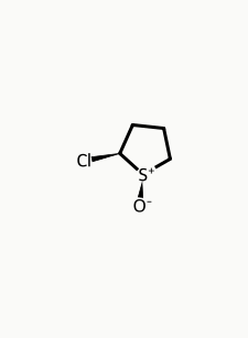 [O-][S@+]1CCC[C@@H]1Cl